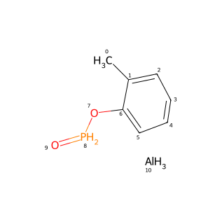 Cc1ccccc1O[PH2]=O.[AlH3]